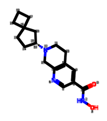 O=C(NO)c1cnc2c(c1)CCN([C@@H]1CCC3(CCC3)C1)C2